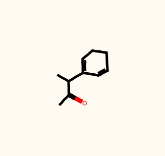 CC(=O)C(C)C1=CCCC=C1